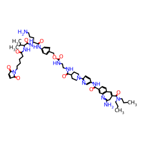 CCCN(CCC)C(=O)C1=Cc2ccc(C(=O)Nc3ccc(N4CCC(C(=O)NCCNC(=O)OCc5ccc(NC(=O)[C@H](CCCN)NC(=O)C(NC(=O)CCCCCN6C(=O)C=CC6=O)C(C)C)cc5)CC4)nc3)cc2N=C(N)C1